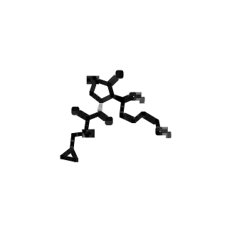 C=C(/C=C\C=C/C)[C@@H]1C(=O)NC[C@H]1C(=O)C(=O)NCC1CC1